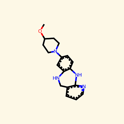 COC1CCN(c2ccc3c(c2)NCc2cccnc2N3)CC1